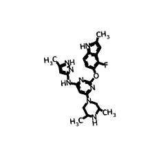 Cc1cc(Nc2cc(N3CC(C)NC(C)C3)nc(Oc3ccc4[nH]c(C)cc4c3F)n2)n[nH]1